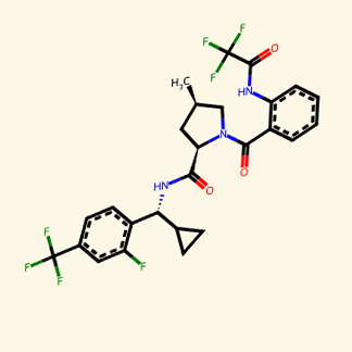 C[C@@H]1C[C@H](C(=O)N[C@@H](c2ccc(C(F)(F)F)cc2F)C2CC2)N(C(=O)c2ccccc2NC(=O)C(F)(F)F)C1